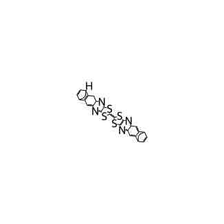 C1=C[C@H]2CCC1C1=C2CC2N=C3SC(=C4Sc5nc6cc7c(cc6nc5S4)C4C=CC7CC4)SC3=NC2=C1